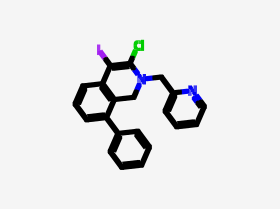 ClC1=C(I)c2cccc(-c3ccccc3)c2CN1Cc1ccccn1